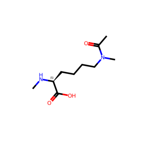 CN[C@@H](CCCCN(C)C(C)=O)C(=O)O